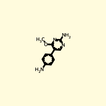 COc1nc(N)ncc1-c1ccc(N)cc1